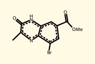 COC(=O)c1cc(Br)c2nc(C)c(=O)[nH]c2c1